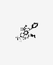 COC(=O)c1c(OCc2ccccc2)ccc2c1CCC(NC(C)(C)C)C2O.Cl